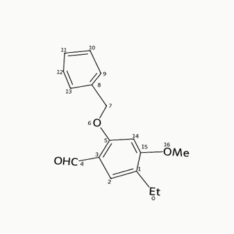 CCc1cc(C=O)c(OCc2ccccc2)cc1OC